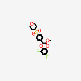 COC(=O)C(Oc1ccc(F)cc1F)c1ccc(S(=O)(=O)C2CCOCC2)cc1